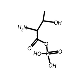 CC(O)C(N)C(=O)OP(=O)(O)O